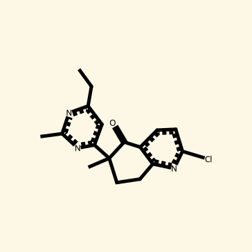 CCc1cc(C2(C)CCc3nc(Cl)ccc3C2=O)nc(C)n1